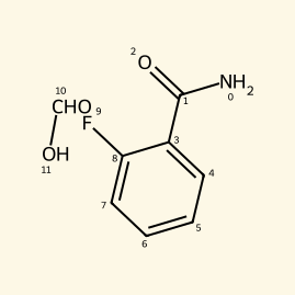 NC(=O)c1ccccc1F.O=CO